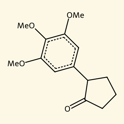 COc1cc(C2CCCC2=O)cc(OC)c1OC